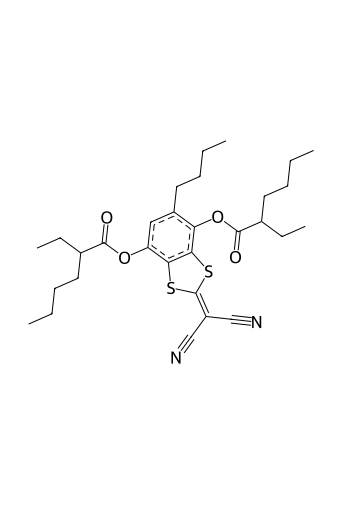 CCCCc1cc(OC(=O)C(CC)CCCC)c2c(c1OC(=O)C(CC)CCCC)SC(=C(C#N)C#N)S2